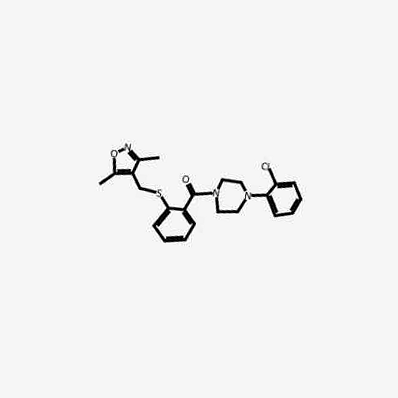 Cc1noc(C)c1CSc1ccccc1C(=O)N1CCN(c2ccccc2Cl)CC1